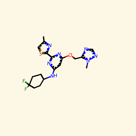 Cc1csc(-c2nc(NC3CCC(F)(F)CC3)cc(OCc3ncnn3C)n2)n1